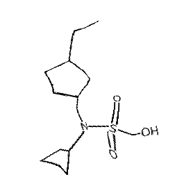 CCC1CCC(N(C2CC2)S(=O)(=O)O)C1